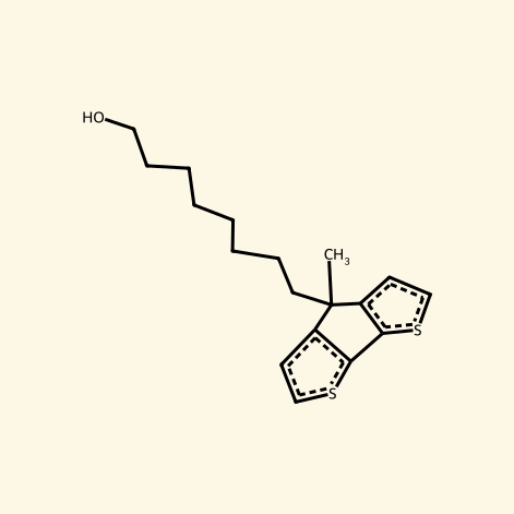 CC1(CCCCCCCCO)c2ccsc2-c2sccc21